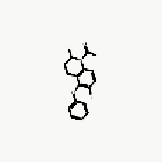 CC(=O)N1c2ccc(Br)c(Oc3ccccc3)c2CCC1C